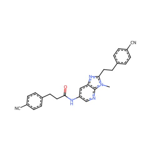 Cn1c(CCc2ccc(C#N)cc2)nc2cc(NC(=O)CCc3ccc(C#N)cc3)cnc21